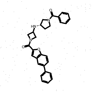 O=C(c1ccccc1)N1CC[C@H](NC2CN(C(=O)c3cc4cc(-c5ccccc5)ccc4o3)C2)C1